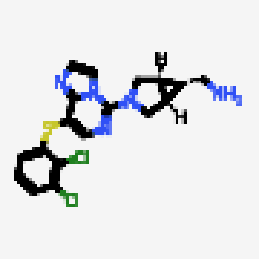 NC[C@@H]1[C@H]2CN(c3ncc(Sc4cccc(Cl)c4Cl)c4nccn34)C[C@@H]12